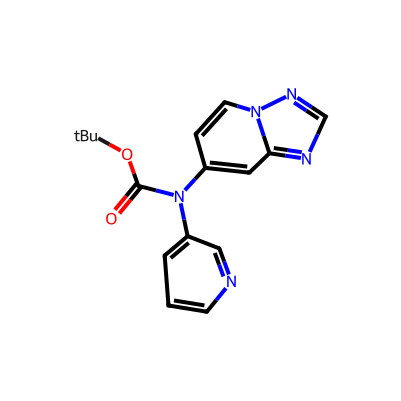 CC(C)(C)OC(=O)N(c1cccnc1)c1ccn2ncnc2c1